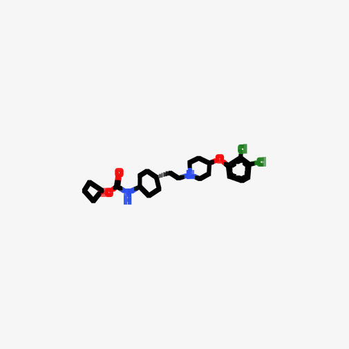 C1CCC1.O=C(O)N[C@H]1CC[C@H](CCN2CCC(Oc3cccc(Cl)c3Cl)CC2)CC1